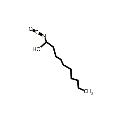 CCCCCCCCCC(O)N=C=O